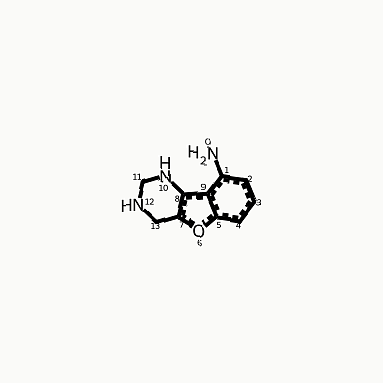 Nc1cccc2oc3c(c12)NCNC3